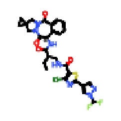 CCC(CNC(=O)c1sc(-c2cnn(C(F)F)c2)nc1Cl)C(=O)N[C@@H]1C(=O)N2CC3(CC3)CN2C(=O)c2ccccc21